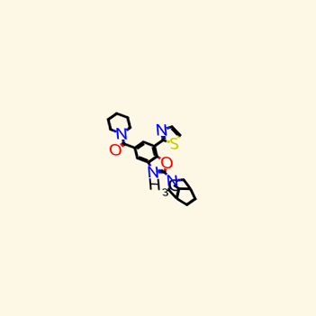 CC1C2CCC1CN(c1nc3cc(C(=O)N4CCCCC4)cc(-c4nccs4)c3o1)C2